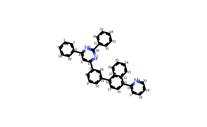 c1ccc(-c2cc(-c3cccc(-c4ccc(-c5ccccn5)c5ccccc45)c3)nc(-c3ccccc3)n2)cc1